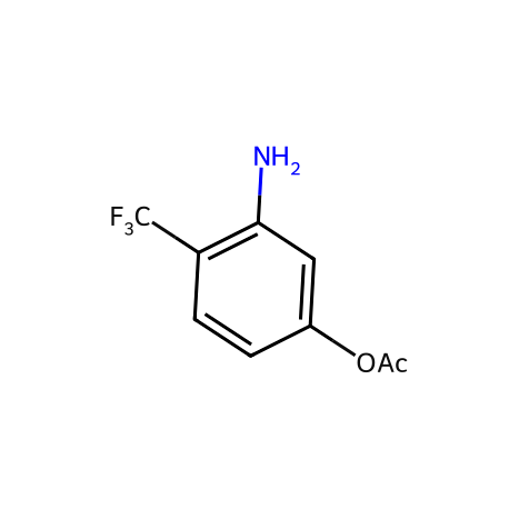 CC(=O)Oc1ccc(C(F)(F)F)c(N)c1